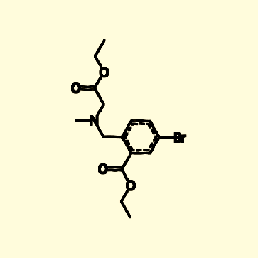 CCOC(=O)CN(C)Cc1ccc(Br)cc1C(=O)OCC